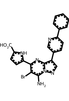 Nc1c(Br)c(-c2ccc(C(=O)O)[nH]2)nc2c(-c3ccc(-c4ccccc4)nc3)cnn12